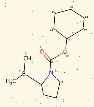 CB(C)C1CCCN1C(=O)OC1CCCCC1